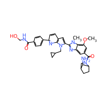 COc1cc(C(=O)N2CC3CCC2C3N)cc2nc(-c3cc4ccc(-c5ccc(C(=O)NCO)cc5)nc4n3CC3CC3)n(C)c12